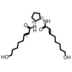 O=C(/C=C/CCCCCO)N[C@H]1CCC[C@H]1NC(=O)/C=C/CCCCCO